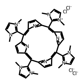 Cn1cc[n+](C)c1C1=C2C=CC(=N2)C(c2n(C)cc[n+]2C)=C2C=CC(=N2)C(c2n(C)cc[n+]2C)=C2C=CC(=N2)C(c2n(C)cc[n+]2C)=C2C=CC1=N2.[Cl-].[Cl-].[Cl-].[Cl-]